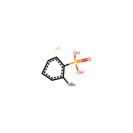 CCCCc1ccccc1P(=O)(O)O.F